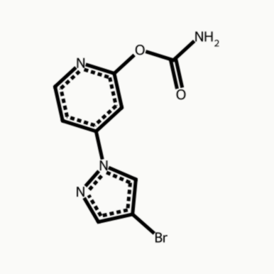 NC(=O)Oc1cc(-n2cc(Br)cn2)ccn1